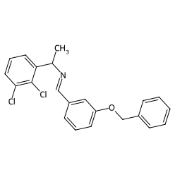 CC(N=Cc1cccc(OCc2ccccc2)c1)c1cccc(Cl)c1Cl